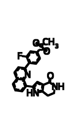 CS(=O)(=O)c1ccc(-c2ccc3cccc(-c4cc5c([nH]4)CCNC5=O)c3n2)c(F)c1